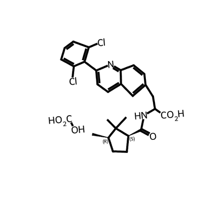 C[C@@H]1CC[C@H](C(=O)NC(Cc2ccc3nc(-c4c(Cl)cccc4Cl)ccc3c2)C(=O)O)C1(C)C.O=C(O)O